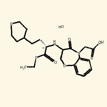 CCOC(=O)[C@H](CCC1CCOCC1)NC1COc2ccccc2N(CC(=O)O)C1=O.Cl